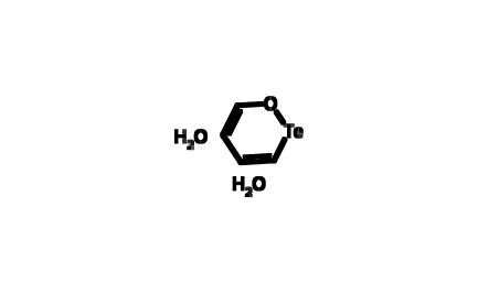 C1=CO[Te]C=C1.O.O